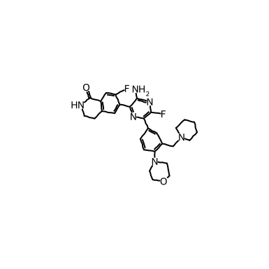 Nc1nc(F)c(-c2ccc(N3CCOCC3)c(CN3CCCCC3)c2)nc1-c1cc2c(cc1F)C(=O)NCC2